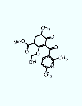 COC(=O)C1CC(C)C(=O)C(C(=O)c2ccc(C(F)(F)F)nc2C)=C1OCO